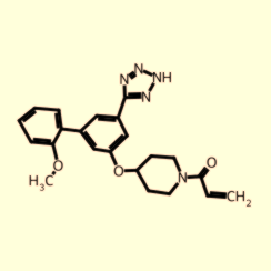 C=CC(=O)N1CCC(Oc2cc(-c3nn[nH]n3)cc(-c3ccccc3OC)c2)CC1